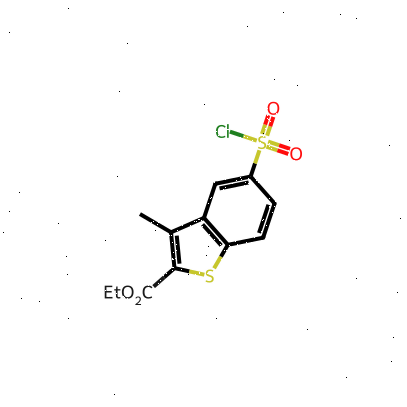 CCOC(=O)c1sc2ccc(S(=O)(=O)Cl)cc2c1C